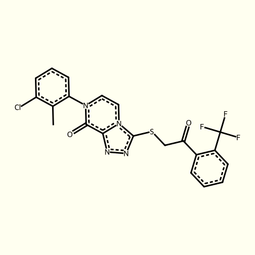 Cc1c(Cl)cccc1-n1ccn2c(SCC(=O)c3ccccc3C(F)(F)F)nnc2c1=O